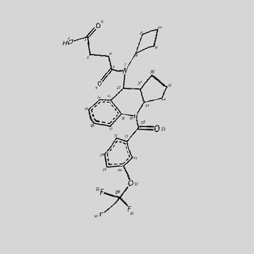 O=C(O)CCC(=O)N(C1CCC1)C1c2ccccc2N(C(=O)c2cccc(OC(F)(F)F)c2)C2CCCC21